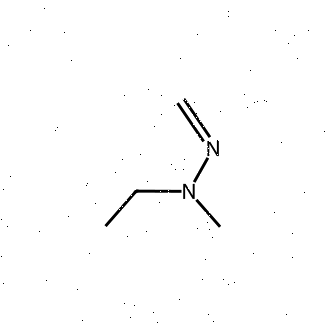 C=NN(C)CC